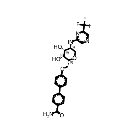 NC(=O)c1ccc(-c2ccc(OC[C@H]3OC[C@H](Nc4cncc(C(F)(F)F)n4)[C@@H](O)[C@H]3O)cc2)cc1